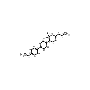 CCCC1CCC(C2CCC(c3ccc(CC)cc3)CC2)C(F)(F)C1